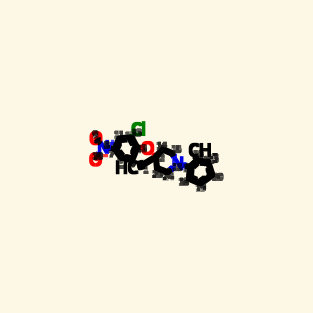 C#CC1(Oc2ccc([N+](=O)[O-])cc2Cl)CCN(c2ccccc2C)CC1